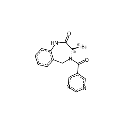 CC[C@H](C)[C@H]1C(=O)Nc2ccccc2CN1C(=O)c1cncnc1